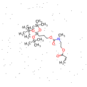 C=CC(=O)OCCN(C)C(=O)OCCC[Si](O[Si](C)(C)C)(O[Si](C)(C)C)O[Si](C)(C)C